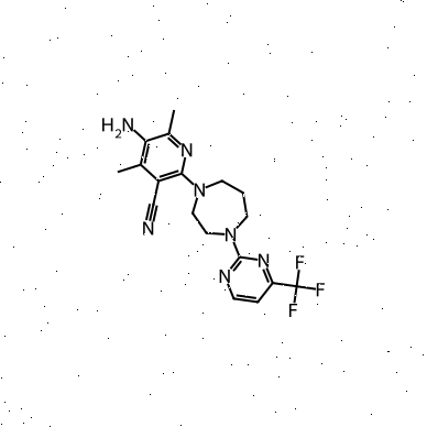 Cc1nc(N2CCCN(c3nccc(C(F)(F)F)n3)CC2)c(C#N)c(C)c1N